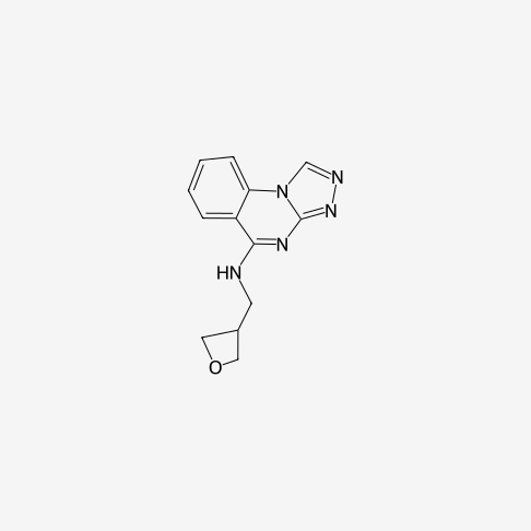 c1ccc2c(c1)c(NCC1COC1)nc1nncn12